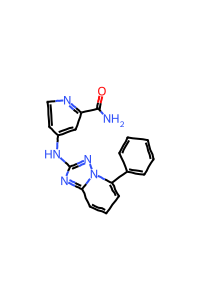 NC(=O)c1cc(Nc2nc3cccc(-c4ccccc4)n3n2)ccn1